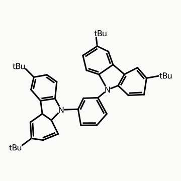 CC(C)(C)C1=CC2c3cc(C(C)(C)C)ccc3N(c3cccc(-n4c5ccc(C(C)(C)C)cc5c5cc(C(C)(C)C)ccc54)c3)C2C=C1